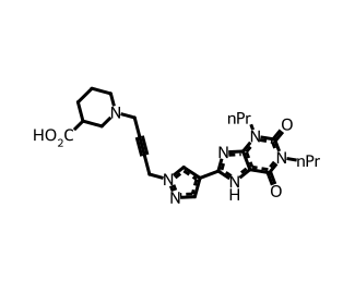 CCCn1c(=O)c2[nH]c(-c3cnn(CC#CCN4CCCC(C(=O)O)C4)c3)nc2n(CCC)c1=O